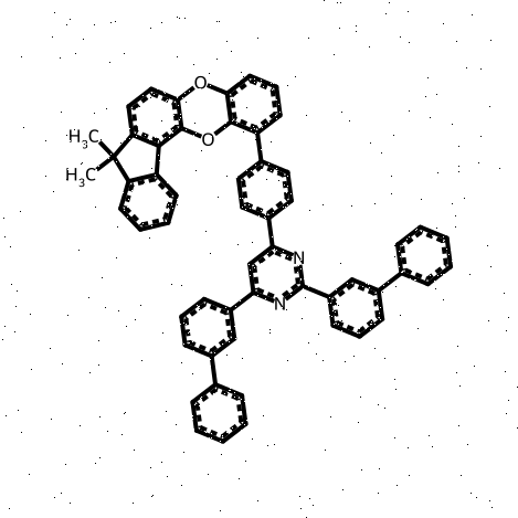 CC1(C)c2ccccc2-c2c1ccc1c2Oc2c(cccc2-c2ccc(-c3cc(-c4cccc(-c5ccccc5)c4)nc(-c4cccc(-c5ccccc5)c4)n3)cc2)O1